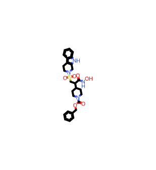 O=C(NO)C(CS(=O)(=O)N1CCc2c([nH]c3ccccc23)C1)C1CCN(C(=O)OCc2ccccc2)CC1